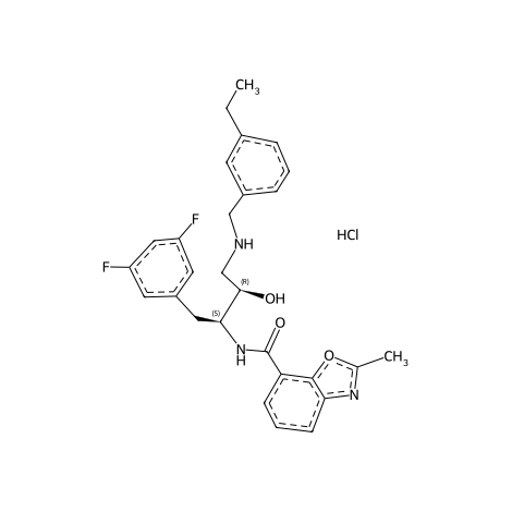 CCc1cccc(CNC[C@@H](O)[C@H](Cc2cc(F)cc(F)c2)NC(=O)c2cccc3nc(C)oc23)c1.Cl